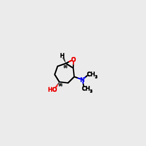 CN(C)C1C[C@H](O)CC[C@H]2OC12